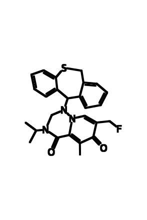 Cc1c2n(cc(CF)c1=O)N(C1c3ccccc3CSc3ccccc31)CN(C(C)C)C2=O